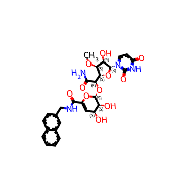 CO[C@H]1[C@@H](O)[C@H](n2ccc(=O)[nH]c2=O)O[C@@H]1[C@@H](O[C@H]1OC(C(=O)NCc2ccc3ccccc3c2)=C[C@H](O)[C@@H]1O)C(N)=O